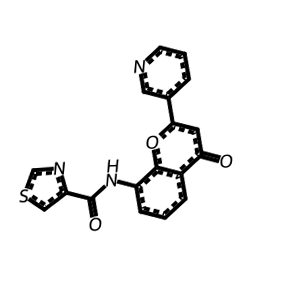 O=C(Nc1cccc2c(=O)cc(-c3cccnc3)oc12)c1cscn1